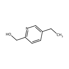 CCc1ccc(CO)nc1